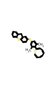 Cc1cc(Sc2ccc3c(c2)Cc2ccccc2S3)cc(C)c1-c1cccccccs1